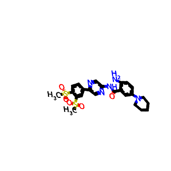 CS(=O)(=O)c1ccc(-c2cnc(NC(=O)c3cc(N4CCCCC4)ccc3N)cn2)cc1S(C)(=O)=O